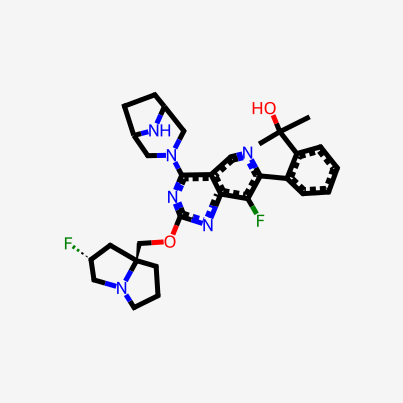 CC(C)(O)c1ccccc1-c1ncc2c(N3CC4CCC(C3)N4)nc(OC[C@@]34CCCN3C[C@H](F)C4)nc2c1F